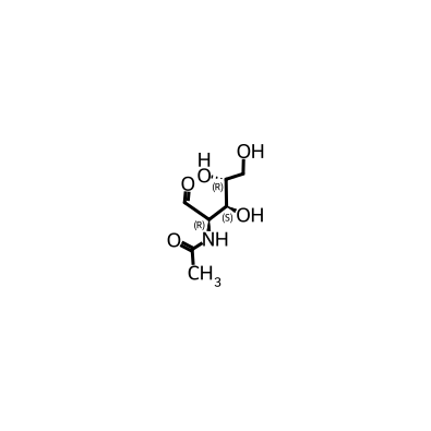 CC(=O)N[C@@H](C=O)[C@H](O)[C@H](O)CO